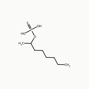 CCCCCCC(C)OP(O)(O)=S